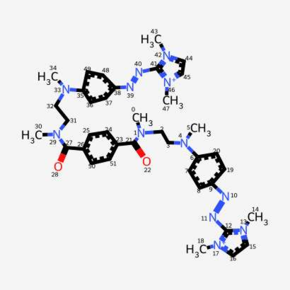 CN(CCN(C)c1ccc(/N=N/c2n(C)cc[n+]2C)cc1)C(=O)c1ccc(C(=O)N(C)CCN(C)c2ccc(/N=N/c3n(C)cc[n+]3C)cc2)cc1